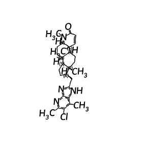 Cc1nc2nc(C[C@H]3CC[C@H]4[C@@H]5CC[C@H]6N(C)C(=O)C=C[C@]6(C)[C@H]5CC[C@]34C)[nH]c2c(C)c1Cl